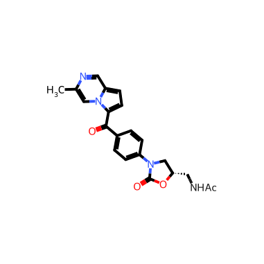 CC(=O)NC[C@H]1CN(c2ccc(C(=O)c3ccc4cnc(C)cn34)cc2)C(=O)O1